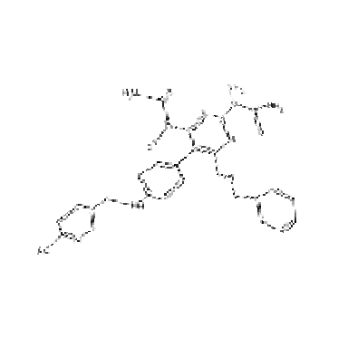 N#Cc1ccc(CNc2ccc(-c3c(COCc4ccccc4)nc(N(N)C(N)=O)nc3N(N)C(N)=O)cc2)cn1